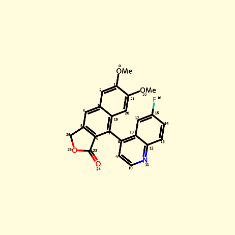 COc1cc2cc3c(c(-c4ccnc5ccc(F)cc45)c2cc1OC)C(=O)OC3